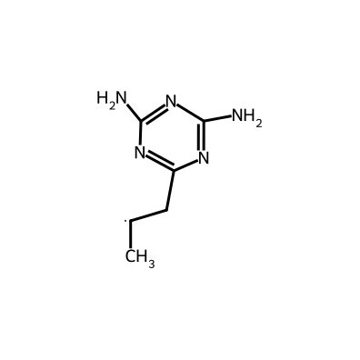 C[CH]Cc1nc(N)nc(N)n1